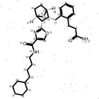 NC(=O)CCc1ccccc1C[C@@H]1[C@H](c2nc(C(=O)NCCCCC3CCCCC3)co2)[C@H]2CC[C@@H]1O2